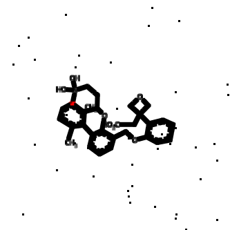 Cc1cccc(C)c1-c1cccc(COc2ccccc2C2(CC(=O)O)COC2)c1OC1CCS(O)(O)CC1